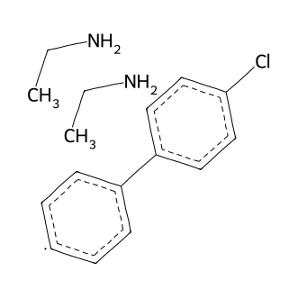 CCN.CCN.Clc1ccc(-c2cc[c]cc2)cc1